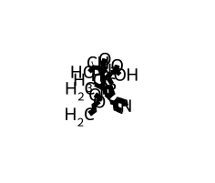 C=CCOC(=O)N1C[C@@H](SC2=C(C(=O)O)N3C(=O)[C@H]([C@@H](C)O)[C@H]3[C@@]2(C)SCC=C)C[C@H]1Cc1ccncc1